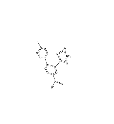 Cc1ccc(-c2ccc([N+](=O)[O-])cc2-c2nn[nH]n2)cn1